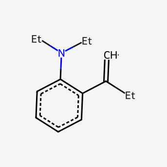 [CH]=C(CC)c1ccccc1N(CC)CC